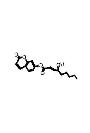 CCCCCC(O)C=CC(=O)Oc1ccc2ccc(=O)oc2c1